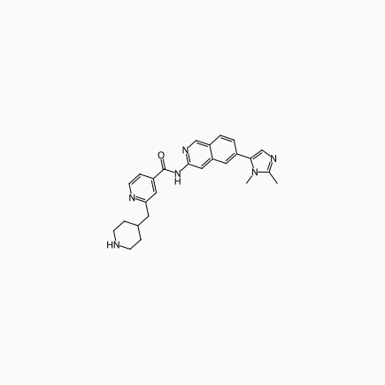 Cc1ncc(-c2ccc3cnc(NC(=O)c4ccnc(CC5CCNCC5)c4)cc3c2)n1C